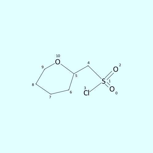 O=S(=O)(Cl)CC1CCCCO1